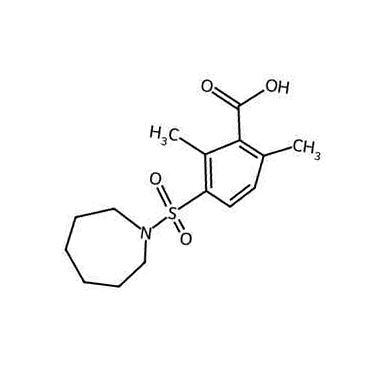 Cc1ccc(S(=O)(=O)N2CCCCCC2)c(C)c1C(=O)O